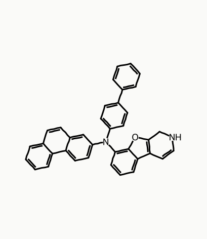 C1=Cc2c(oc3c(N(c4ccc(-c5ccccc5)cc4)c4ccc5c(ccc6ccccc65)c4)cccc23)CN1